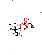 CC(C)(F)COS(=O)(=O)CF